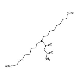 CCCCCCCCCCCCCCCCCCN(CCCCCCCCCCCCCCCCCC)C(=O)CC(N)=O